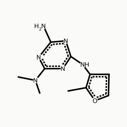 Cc1occc1Nc1nc(N)nc(N(C)C)n1